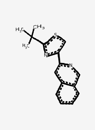 CC(C)(C)c1nc(-c2cc3ccccc3cn2)cs1